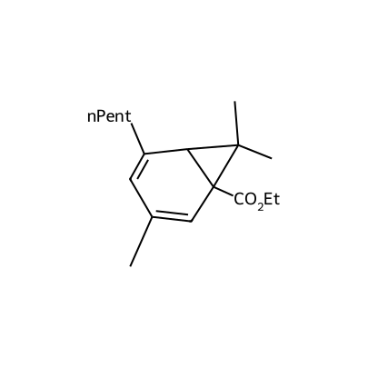 CCCCCC1=CC(C)=CC2(C(=O)OCC)C1C2(C)C